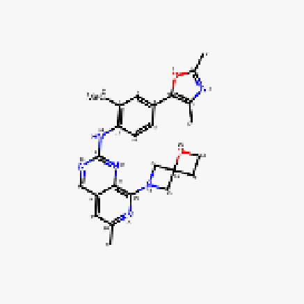 COc1cc(-c2oc(C)nc2C)ccc1Nc1ncc2cc(C)nc(N3CC4(CCO4)C3)c2n1